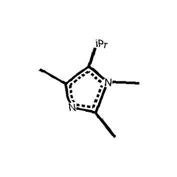 Cc1nc(C)n(C)c1C(C)C